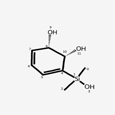 C[Si](C)(O)C1=CC=C[C@H](O)[C@@H]1O